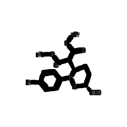 CCCOC(=O)C(C(=O)OCCC)[C@H]1CC[C@H](C=O)ON1c1ccc(Br)cc1